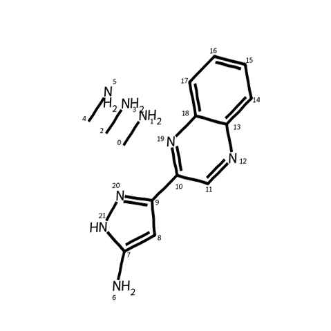 CN.CN.CN.Nc1cc(-c2cnc3ccccc3n2)n[nH]1